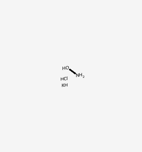 Cl.NO.[KH]